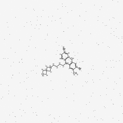 Cc1cc2c(cc1Br)Oc1cc(Br)cnc1N2CCCCN1CC2(COC2)C1